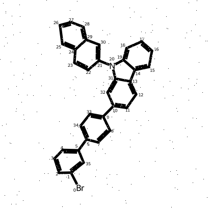 Brc1cccc(-c2ccc(-c3ccc4c5ccccc5n(-c5ccc6ccccc6c5)c4c3)cc2)c1